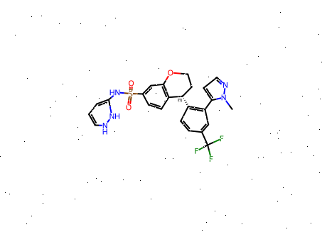 Cn1nccc1-c1cc(C(F)(F)F)ccc1[C@H]1CCOc2cc(S(=O)(=O)NC3=CC=CNN3)ccc21